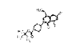 C=Cc1cn(C2CCN(C(=O)OC(C)(C)C)CC2)c(=O)c2c(F)cc(Br)cc12